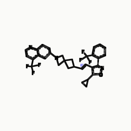 FC(F)(F)c1ccccc1-c1noc(C2CC2)c1/C=C/C1CC2(C1)CN(c1ccc3nccc(C(F)(F)F)c3c1)C2